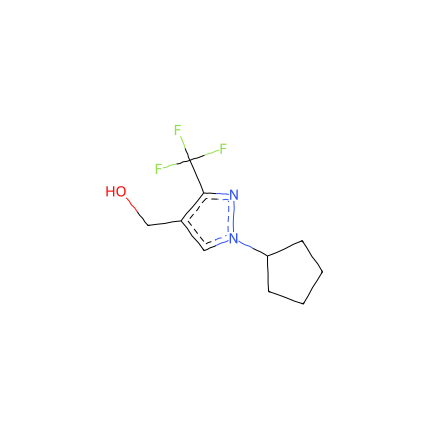 OCc1cn(C2CCCC2)nc1C(F)(F)F